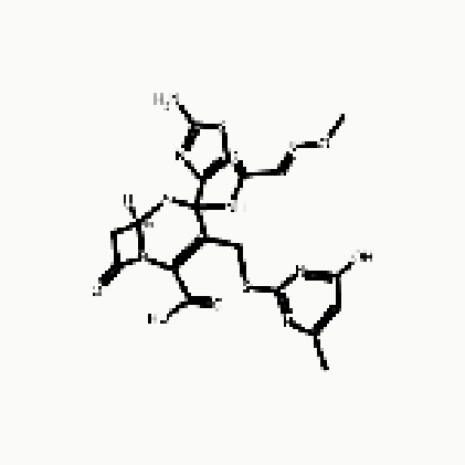 CON=CC(=O)NC1(c2csc(N)n2)S[C@H]2CC(=O)N2C(C(=O)O)=C1CSc1nc(C)cc(O)n1